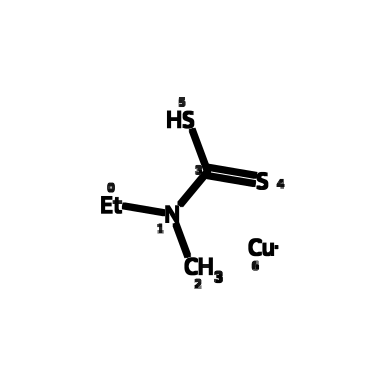 CCN(C)C(=S)S.[Cu]